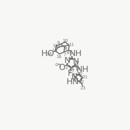 COc1nc(NC2C3CC4CC2CC(O)(C4)C3)nc(Nc2cc(C)[nH]n2)c1F